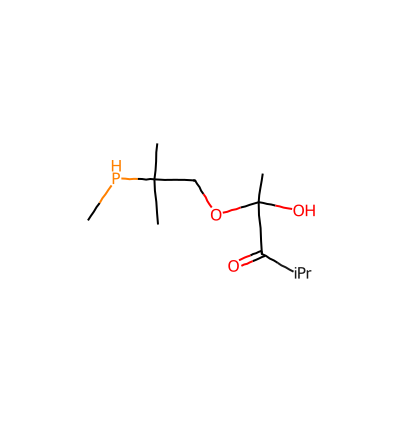 CPC(C)(C)COC(C)(O)C(=O)C(C)C